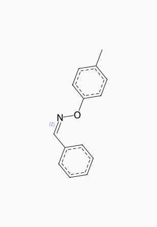 Cc1ccc(O/N=C\c2ccccc2)cc1